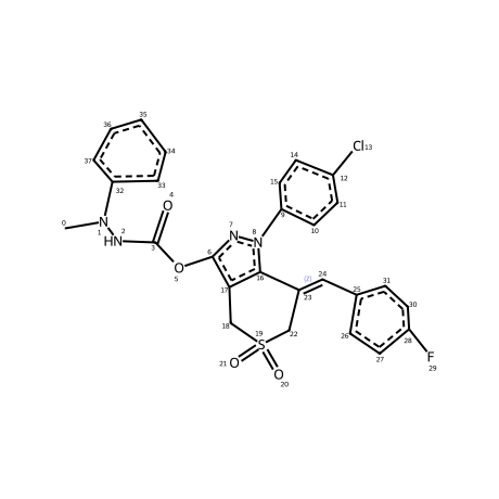 CN(NC(=O)Oc1nn(-c2ccc(Cl)cc2)c2c1CS(=O)(=O)C/C2=C\c1ccc(F)cc1)c1ccccc1